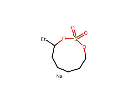 CCC1CCCCCOS(=O)(=O)O1.[Na]